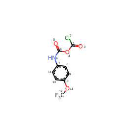 O=C(Cl)OC(=O)Nc1ccc(OC(F)(F)F)cc1